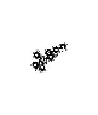 c1ccc(-c2ccc3c(c2)Oc2ccc(-c4nc(-c5ccccc5)nc(-c5cccc6oc7ccccc7c56)n4)c4cccc-3c24)cc1